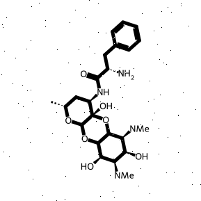 CN[C@@H]1[C@H](O)[C@H](NC)C2O[C@]3(O)C(OC2[C@@H]1O)O[C@H](C)C[C@H]3NC(=O)[C@@H](N)Cc1ccccc1